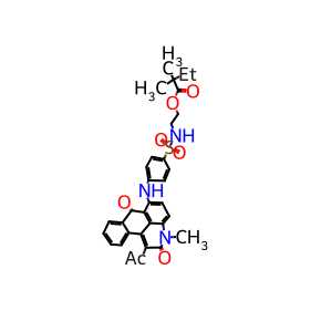 CCC(C)(C)C(=O)OCCNS(=O)(=O)c1ccc(Nc2ccc3c4c2C(=O)c2ccccc2-c4c(C(C)=O)c(=O)n3C)cc1